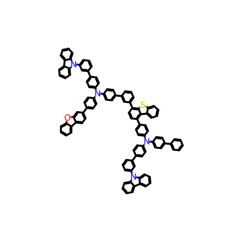 c1ccc(-c2ccc(N(c3ccc(-c4cccc(-n5c6ccccc6c6ccccc65)c4)cc3)c3ccc(-c4ccc(-c5cccc(-c6ccc(N(c7ccc(-c8cccc(-n9c%10ccccc%10c%10ccccc%109)c8)cc7)c7ccc(-c8ccc9c(c8)oc8ccccc89)cc7)cc6)c5)c5sc6ccccc6c45)cc3)cc2)cc1